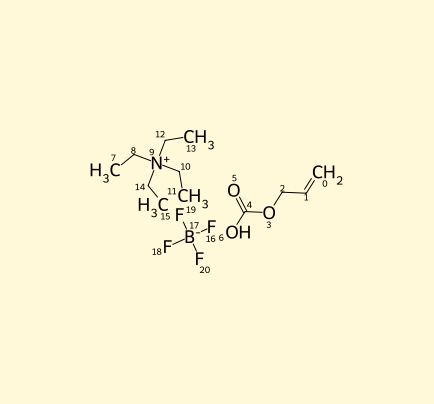 C=CCOC(=O)O.CC[N+](CC)(CC)CC.F[B-](F)(F)F